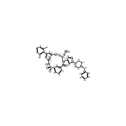 Cc1cccc(C)c1-c1cc2nc(n1)NS(=O)(=O)c1cccc(c1)C(=O)N(c1cnn(C3CCN(Cc4ccccc4)CC3)c1)[C@H](CC(C)(C)C)CO2